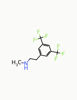 CNCCc1cc(C(F)(F)F)cc(C(F)(F)F)c1